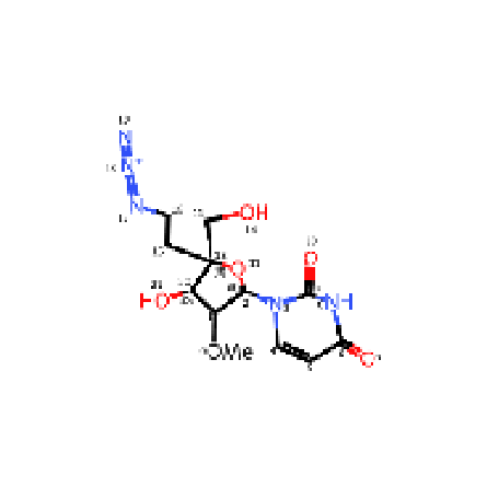 COC1[C@H](n2ccc(=O)[nH]c2=O)O[C@@](CO)(CCN=[N+]=[N-])[C@@H]1O